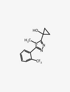 Cn1c(-c2ccccc2C(F)(F)F)nnc1C1(O)CC1